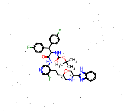 CC(C)(C)OC(=O)NC(C(=O)Nc1cncc(F)c1CC[C@@H]1CN[C@H](c2nc3ccccc3[nH]2)CO1)C(c1ccc(F)cc1)c1ccc(F)cc1